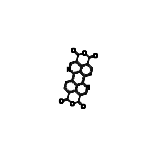 O=C1OC(=O)c2cnc3c4ccc5c6c(cnc(c7ccc1c2c73)c64)C(=O)OC5=O